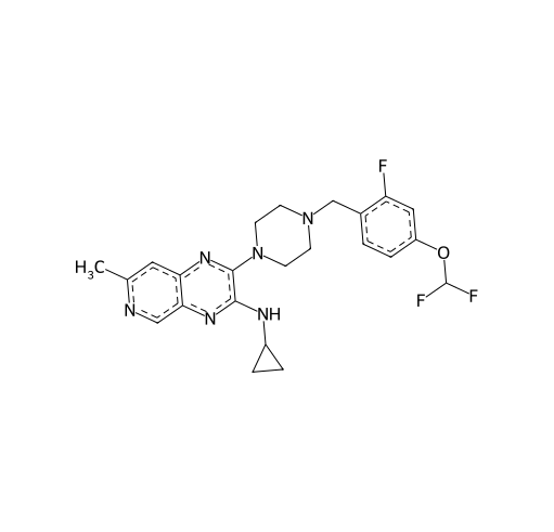 Cc1cc2nc(N3CCN(Cc4ccc(OC(F)F)cc4F)CC3)c(NC3CC3)nc2cn1